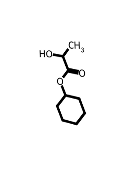 CC(O)C(=O)OC1CCCCC1